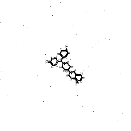 Fc1ccc(C(c2ccc(F)cc2)N2CCC(N3CCc4c(F)cccc4C3)CC2)cc1